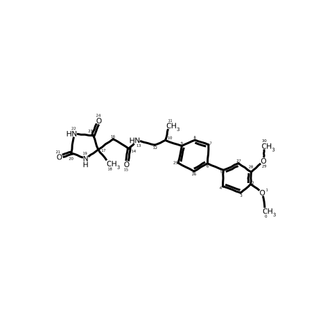 COc1ccc(-c2ccc(C(C)CNC(=O)CC3(C)NC(=O)NC3=O)cc2)cc1OC